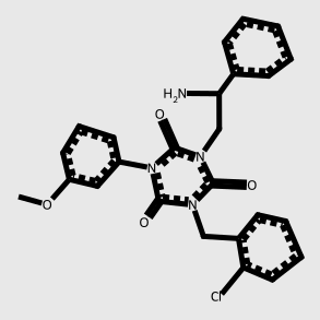 COc1cccc(-n2c(=O)n(Cc3ccccc3Cl)c(=O)n(CC(N)c3ccccc3)c2=O)c1